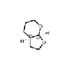 [CH]1CO[C@@H]2OCCC[C@H]12